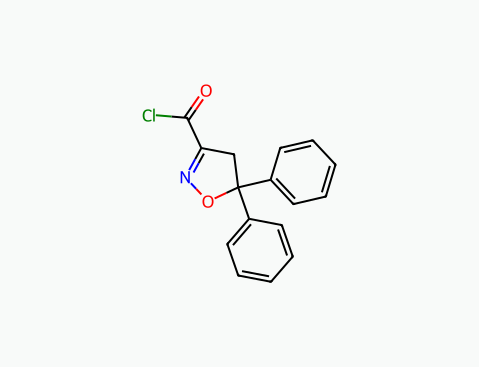 O=C(Cl)C1=NOC(c2ccccc2)(c2ccccc2)C1